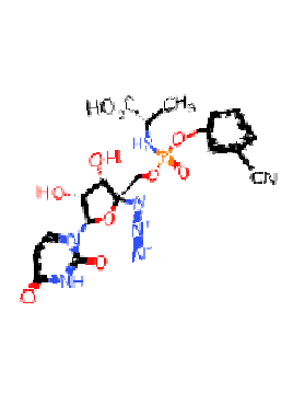 C[C@H](NP(=O)(OC[C@@]1(N=[N+]=[N-])O[C@@H](n2ccc(=O)[nH]c2=O)[C@H](O)[C@@H]1O)Oc1cccc(C#N)c1)C(=O)O